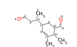 CC1=CC(C(C)CC=O)CC(C=O)C1C